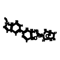 Cn1ccc2cc(-c3ccc4oc(N5CC6CCC(C5)O6)nc4c3)ccc21